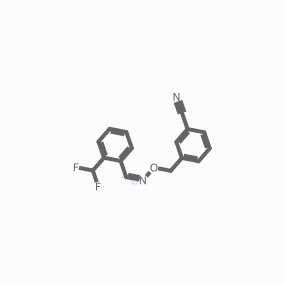 N#Cc1cccc(CO/N=[C]\c2ccccc2C(F)F)c1